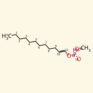 CCCCCCCCCCC=CO[PH](=O)OC